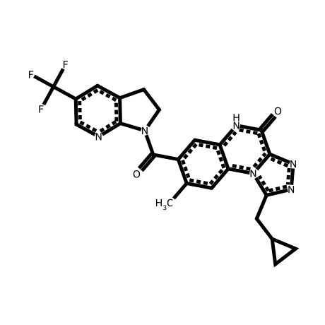 Cc1cc2c(cc1C(=O)N1CCc3cc(C(F)(F)F)cnc31)[nH]c(=O)c1nnc(CC3CC3)n12